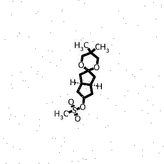 CC1(C)COC2(C[C@H]3CC(OS(C)(=O)=O)C[C@H]3C2)OC1